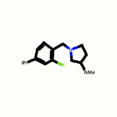 CNC1CCN(Cc2ccc(C(C)C)cc2F)C1